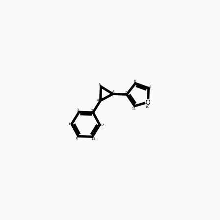 c1ccc(C2CC2c2ccoc2)cc1